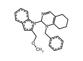 COCc1cc2ccccc2n1C1N=CC2=C(CCCC2)N1Cc1ccccc1